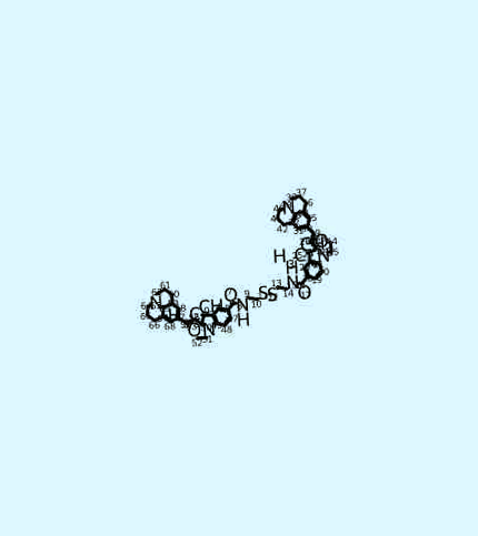 CC1(C)c2cc(C(=O)NCCSSCCNC(=O)c3ccc4c(c3)C(C)(C)C3(/C=C/c5cc6c7c(c5)CCCN7CCC6)OCCN43)ccc2N2CCOC21/C=C/C1=CC2CCCN3CCCC(=C1)C23